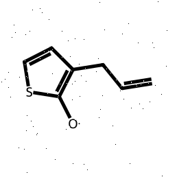 C=CCc1ccsc1[O]